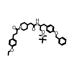 CCOc1ccc(CCC(=O)N2CCC(CC(=O)NC(CO[Si](C)(C)C(C)(C)C)Cc3ccc(OCc4ccccc4)cc3)CC2)cc1